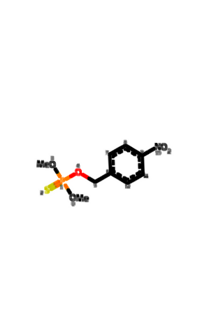 COP(=S)(OC)OCc1ccc([N+](=O)[O-])cc1